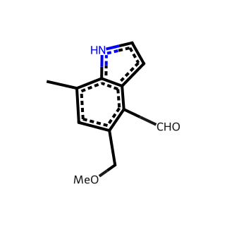 COCc1cc(C)c2[nH]ccc2c1C=O